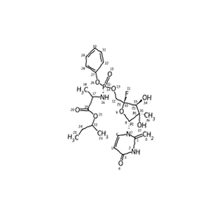 C=C1NC(=O)C=CN1[C@@H]1O[C@](F)(CO[P@@](=O)(NC(C)C(=O)OC(C)CC)Oc2ccccc2)[C@@H](O)[C@@]1(C)O